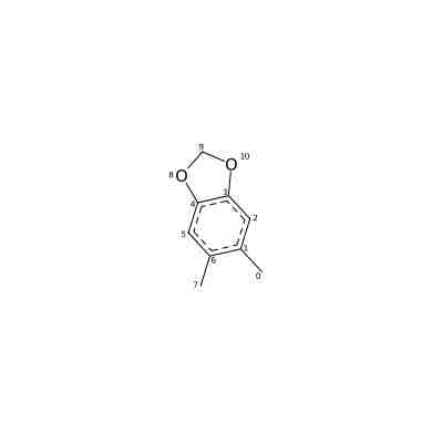 Cc1cc2c(cc1C)OCO2